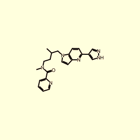 CC(CCN(C)C(=O)c1ccccn1)Cn1ccc2nc(-c3cn[nH]c3)ccc21